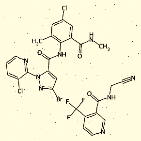 CNC(=O)c1cc(Cl)cc(C)c1NC(=O)c1cc(Br)nn1-c1ncccc1Cl.N#CCNC(=O)c1cnccc1C(F)(F)F